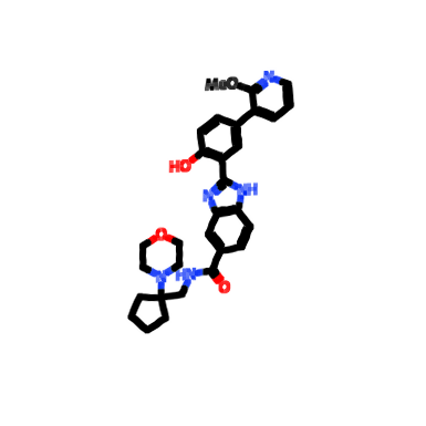 COc1ncccc1-c1ccc(O)c(-c2nc3cc(C(=O)NCC4(N5CCOCC5)CCCC4)ccc3[nH]2)c1